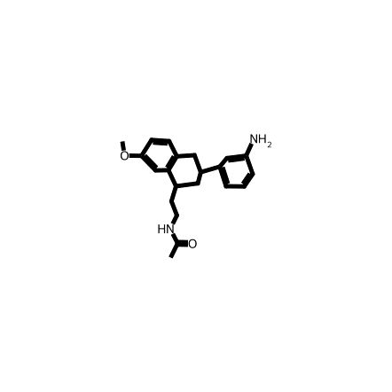 COc1ccc2c(c1)C(CCNC(C)=O)CC(c1cccc(N)c1)C2